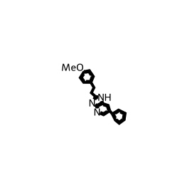 COc1ccc(CCc2nc3ncc(-c4ccccc4)cc3[nH]2)cc1